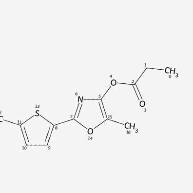 CCC(=O)Oc1nc(-c2ccc(C)s2)oc1C